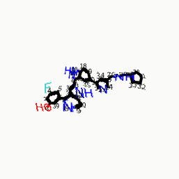 Oc1cc(F)cc(-c2nccc3[nH]c(-c4n[nH]c5ccc(-c6cncc(CNCC7CCCC7)c6)cc45)cc23)c1